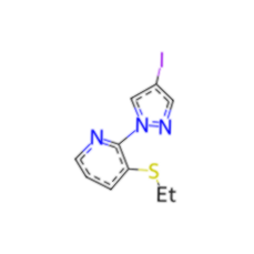 CCSc1cccnc1-n1cc(I)cn1